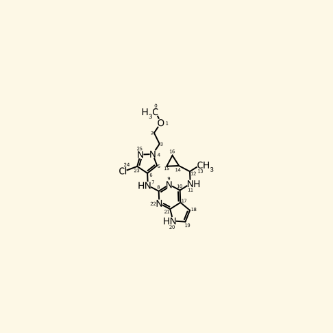 COCCn1cc(Nc2nc(NC(C)C3CC3)c3cc[nH]c3n2)c(Cl)n1